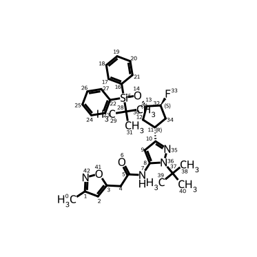 Cc1cc(CC(=O)Nc2cc([C@@H]3C[C@H](O[Si](c4ccccc4)(c4ccccc4)C(C)(C)C)[C@@H](F)C3)nn2C(C)(C)C)on1